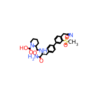 CS(=O)(=O)c1cc(-c2ccc(C[C@H](NC(=O)C3CCCCN3C(=O)O)C(N)=O)cc2)ccc1CC#N